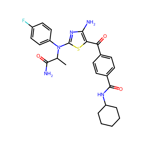 CC(C(N)=O)N(c1ccc(F)cc1)c1nc(N)c(C(=O)c2ccc(C(=O)NC3CCCCC3)cc2)s1